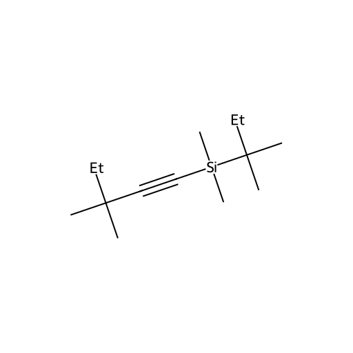 CCC(C)(C)C#C[Si](C)(C)C(C)(C)CC